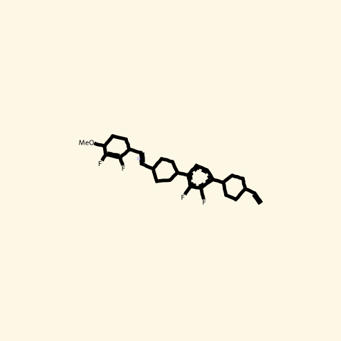 C=CC1CCC(c2ccc(C3CCC(/C=C/C4CCC(OC)C(F)=C4F)CC3)c(F)c2F)CC1